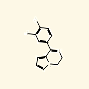 Clc1ccc(C2=NCCn3cccc32)cc1Cl